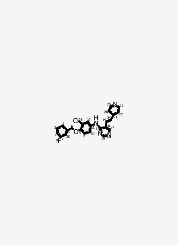 Fc1cccc(COc2ccc(Nc3ncncc3C=Cc3ccncc3)cc2Cl)c1